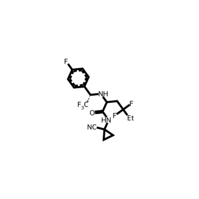 CCC(F)(F)CC(N[C@@H](c1ccc(F)cc1)C(F)(F)F)C(=O)NC1(C#N)CC1